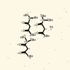 CCCCC(=O)CC(=O)N(CCCC)CCCC.CCCCC(=O)CC(=O)N(CCCC)CCCC.CCCCC(=O)CC(=O)N(CCCC)CCCC.[Fe]